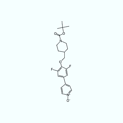 CC(C)(C)OC(=O)N1CCC(COc2c(F)cc(-c3cc[n+]([O-])cc3)cc2F)CC1